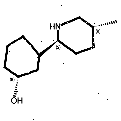 C[C@@H]1CC[C@@H](C2CCC[C@@H](O)C2)NC1